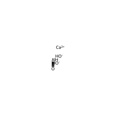 [Ca+2].[OH-].[OH-].[O]=[AlH]